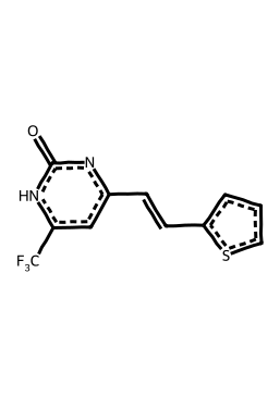 O=c1nc(C=Cc2cccs2)cc(C(F)(F)F)[nH]1